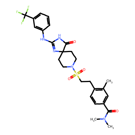 Cc1cc(C(=O)N(C)C)ccc1CCS(=O)(=O)N1CCC2(CC1)N=C(Nc1cccc(C(F)(F)F)c1)NC2=O